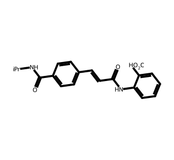 CC(C)NC(=O)c1ccc(C=CC(=O)Nc2ccccc2C(=O)O)cc1